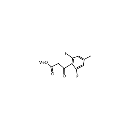 COC(=O)CC(=O)c1c(F)cc(C)cc1F